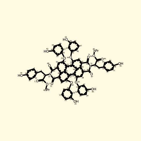 CCCOC(=O)C(Cc1ccc(O)cc1)N1C(=O)c2cc(Oc3cccc(O)c3)c3c4c(Oc5cccc(O)c5)cc5c6c(cc(Oc7cccc(O)c7)c(c7c(Oc8cccc(O)c8)cc(c2c37)C1=O)c64)C(=O)N(C(Cc1ccc(O)cc1)C(=O)OCCC)C5=O